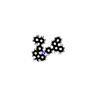 CC1(C)c2ccccc2-c2c(N(c3ccc(-c4cc5ccccc5c5c4ccc4ccccc45)cc3)c3cccc(-c4cccc5ccccc45)c3)cccc21